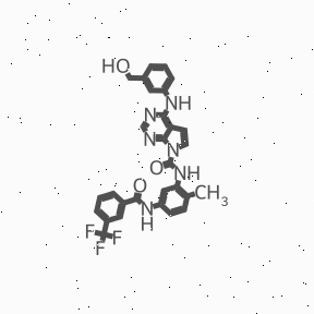 Cc1ccc(NC(=O)c2cccc(C(F)(F)F)c2)cc1NC(=O)n1ccc2c(Nc3cccc(CO)c3)ncnc21